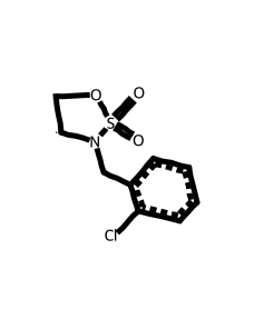 O=S1(=O)OC[CH]N1Cc1ccccc1Cl